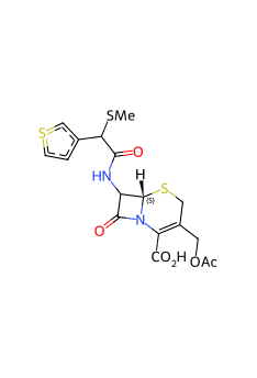 CSC(C(=O)NC1C(=O)N2C(C(=O)O)=C(COC(C)=O)CS[C@@H]12)c1ccsc1